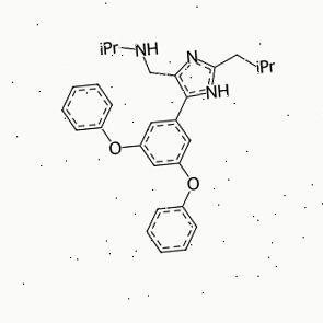 CC(C)Cc1nc(CNC(C)C)c(-c2cc(Oc3ccccc3)cc(Oc3ccccc3)c2)[nH]1